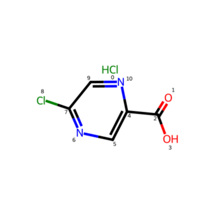 Cl.O=C(O)c1cnc(Cl)cn1